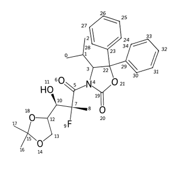 CC(C)C1N(C(=O)[C@](C)(F)[C@H](O)C2COC(C)(C)O2)C(=O)OC1(c1ccccc1)c1ccccc1